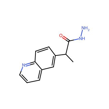 CC(C(=O)NN)c1ccc2ncccc2c1